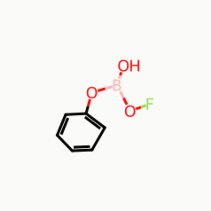 OB(OF)Oc1ccccc1